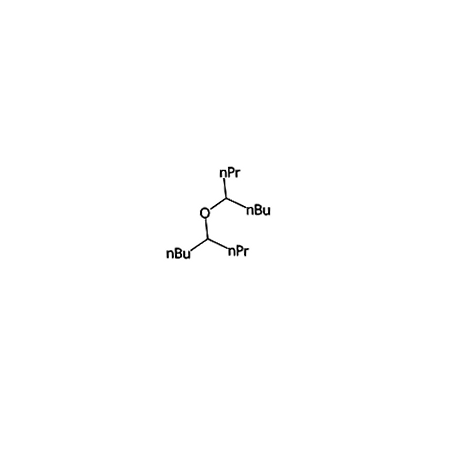 CCCCC(CCC)OC(CCC)CCCC